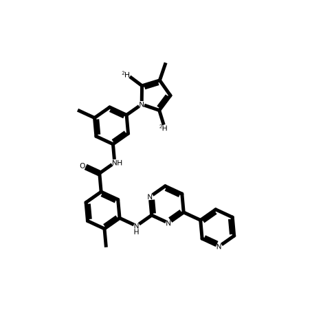 [2H]c1cc(C)c([2H])n1-c1cc(C)cc(NC(=O)c2ccc(C)c(Nc3nccc(-c4cccnc4)n3)c2)c1